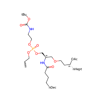 C=CCOP(=O)(OCCNC(=O)OC(C)(C)C)OC[C@@H](COCC[C@@H](CCCCCCC)OC(C)=O)NC(=O)CCCCCCCCCCCCC